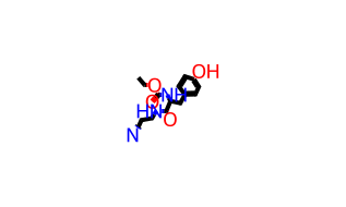 CCOC(=O)NC(Cc1ccc(O)cc1)C(=O)NCCC#N